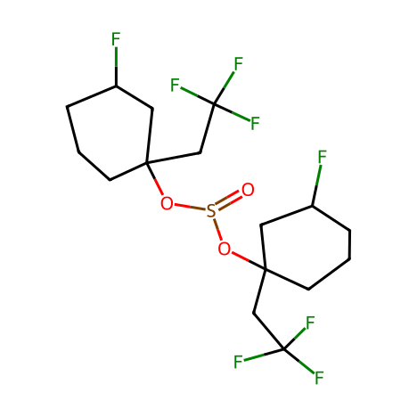 O=S(OC1(CC(F)(F)F)CCCC(F)C1)OC1(CC(F)(F)F)CCCC(F)C1